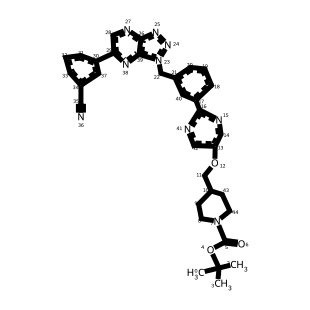 CC(C)(C)OC(=O)N1CCC(COc2cnc(-c3cccc(Cn4nnc5ncc(-c6cccc(C#N)c6)nc54)c3)nc2)CC1